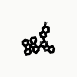 Brc1ccc2cc(-c3nc(-c4cccc5c4-c4ccccc4C54c5ccccc5-c5ccccc54)c4sc5ccccc5c4n3)ccc2c1